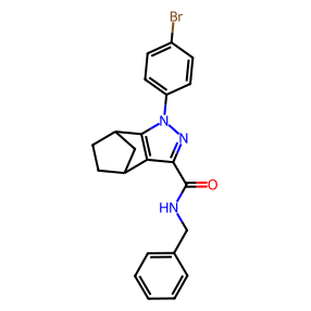 O=C(NCc1ccccc1)c1nn(-c2ccc(Br)cc2)c2c1C1CCC2C1